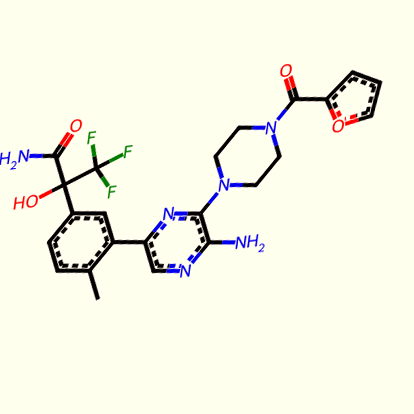 Cc1ccc(C(O)(C(N)=O)C(F)(F)F)cc1-c1cnc(N)c(N2CCN(C(=O)c3ccco3)CC2)n1